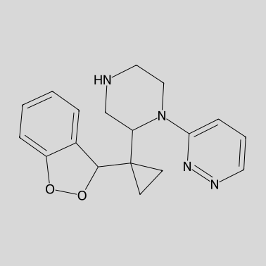 c1cnnc(N2CCNCC2C2(C3OOc4ccccc43)CC2)c1